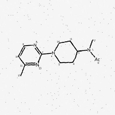 CC(=O)N(C)C1CCN(c2nccc(C)n2)CC1